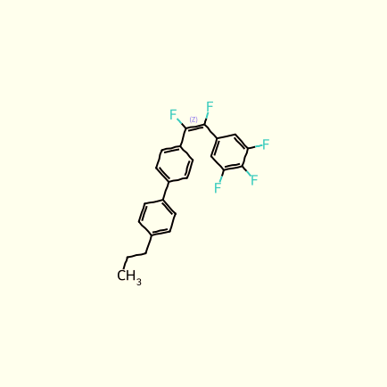 CCCc1ccc(-c2ccc(/C(F)=C(/F)c3cc(F)c(F)c(F)c3)cc2)cc1